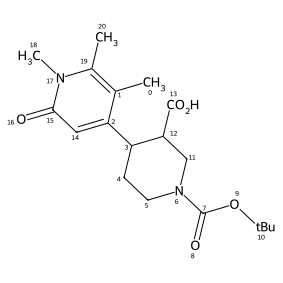 Cc1c(C2CCN(C(=O)OC(C)(C)C)CC2C(=O)O)cc(=O)n(C)c1C